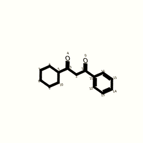 O=C(CC(=O)C1CCCCC1)c1ccccc1